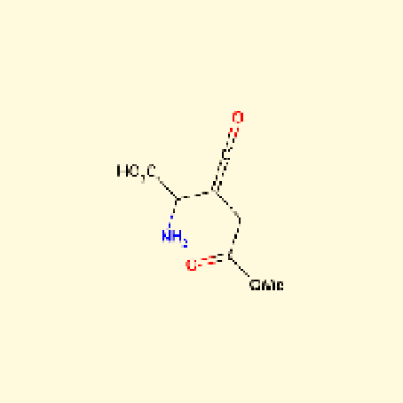 COC(=O)CC(=C=O)C(N)C(=O)O